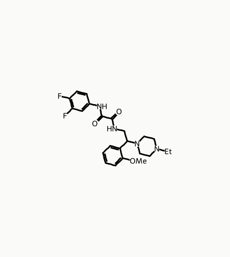 CCN1CCN(C(CNC(=O)C(=O)Nc2ccc(F)c(F)c2)c2ccccc2OC)CC1